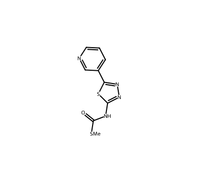 CSC(=O)Nc1nnc(-c2cccnc2)s1